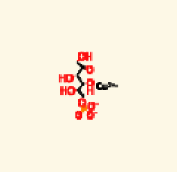 O=C(CO)[C@@H](O)[C@H](O)[C@H](O)COP(=O)([O-])[O-].[Cu+2]